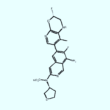 Cc1c(-c2cc3cc(N(C(=O)O)[C@H]4CCOC4)ncc3c(N)c2F)cnc2c1NC[C@@H](F)O2